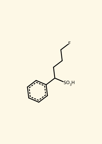 O=S(=O)(O)C(CCCF)c1ccccc1